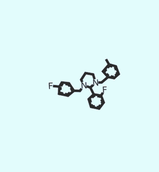 Cc1cccc(CN2CCCN(Cc3ccc(F)cc3)C2c2ccccc2F)c1